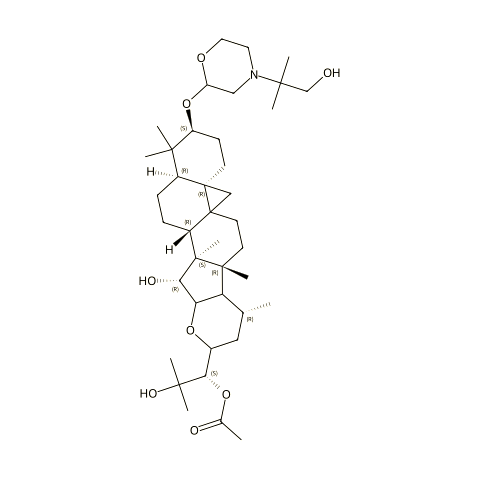 CC(=O)O[C@@H](C1C[C@@H](C)C2C(O1)[C@H](O)[C@@]1(C)[C@@H]3CC[C@H]4C(C)(C)[C@@H](OC5CN(C(C)(C)CO)CCO5)CC[C@@]45CC35CC[C@]21C)C(C)(C)O